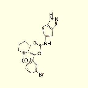 O=C(Nc1ccc2[nH]ncc2c1)OC(c1cccc(Br)c1)[C@@H]1CCCCN1C(=O)O